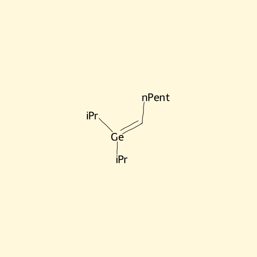 CCCCC[CH]=[Ge]([CH](C)C)[CH](C)C